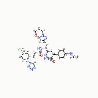 O=C(O)Nc1ccc(-c2cc(C(Cc3cc4n(n3)CCCO4)NC(=O)C=Cc3cc(Cl)ccc3-n3cnnn3)n[nH]c2=O)cc1